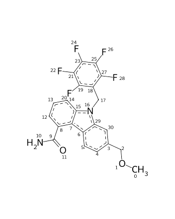 COCc1c[c]c2c3c(C(N)=O)cccc3n(Cc3c(F)c(F)c(F)c(F)c3F)c2c1